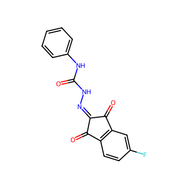 O=C(NN=c1c(=O)c2ccc(F)cc2c1=O)Nc1ccccc1